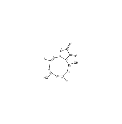 C=C1C(=O)OC2C=C(C)CC(O)C=C(C)CC(O)C12